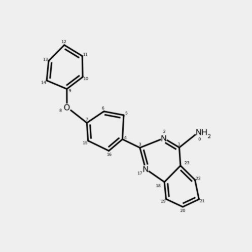 Nc1nc(-c2ccc(Oc3ccccc3)cc2)nc2ccccc12